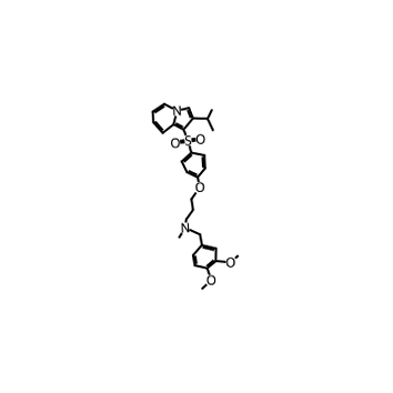 COc1ccc(CN(C)CCCOc2ccc(S(=O)(=O)c3c(C(C)C)cn4ccccc34)cc2)cc1OC